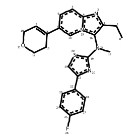 CCc1nc2ccc(C3=CCOCC3)cn2c1N(C)c1nc(-c2ccc(F)cc2)cs1